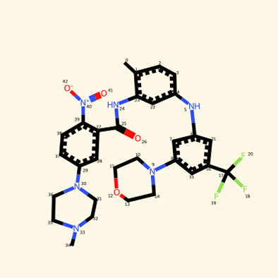 Cc1ccc(Nc2cc(N3CCOCC3)cc(C(F)(F)F)c2)cc1NC(=O)c1cc(N2CCN(C)CC2)ccc1[N+](=O)[O-]